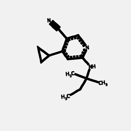 CCC(C)(C)Nc1cc(C2CC2)c(C#N)cn1